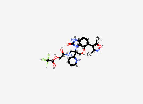 Cc1noc(C)c1-c1ccc2[nH]c(=O)n3c2c1OCC3(CNC(=O)COC(=O)C(F)(F)F)c1ccccn1